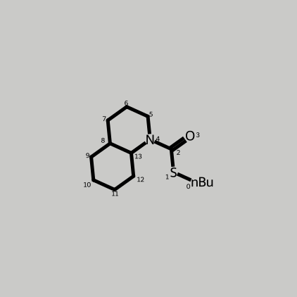 CCCCSC(=O)N1CCCC2CCCCC21